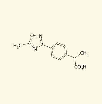 Cc1nc(-c2ccc(C(C)C(=O)O)cc2)no1